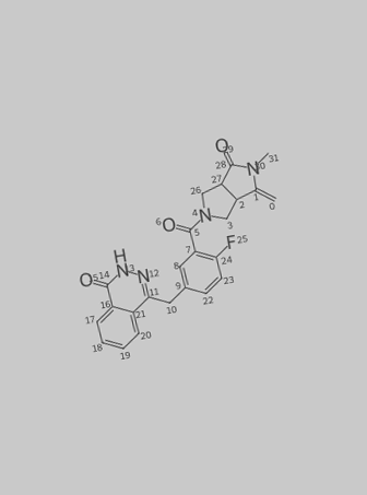 C=C1C2CN(C(=O)c3cc(Cc4n[nH]c(=O)c5ccccc45)ccc3F)CC2C(=O)N1C